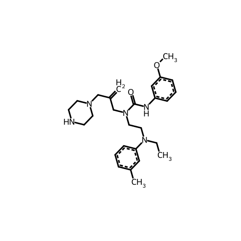 C=C(CN1CCNCC1)CN(CCN(CC)c1cccc(C)c1)C(=O)Nc1cccc(OC)c1